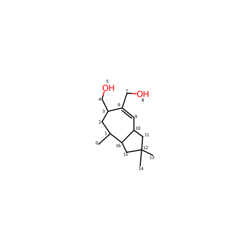 CC1CC(CO)C(CO)=CC2CC(C)(C)CC12